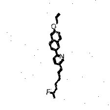 C=CCOc1ccc2cc(-c3ccc(C=CCCCC(C)F)cn3)ccc2c1